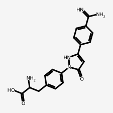 N=C(N)c1ccc(-c2cc(=O)n(-c3ccc(CC(N)C(=O)O)cc3)[nH]2)cc1